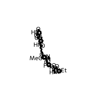 CCc1ccc2c(c1)c(=O)c(C(=O)Nc1ccc(Oc3ncnc4cc(OCCCCC(=O)Nc5ccc6c(c5)C(=O)N(C5CCC(=O)NC5=O)C6)c(OC)cc34)c(F)c1)c(C)n2C